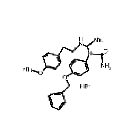 Br.CCCCOc1ccc(CCNC(CCCC)N(C(N)=O)c2ccc(OCc3ccccc3)cc2)cc1